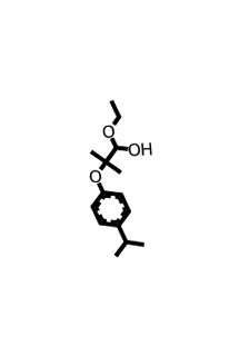 CCOC(O)C(C)(C)Oc1ccc(C(C)C)cc1